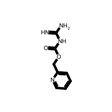 N=C(N)NC(=O)OCc1ccccn1